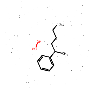 CCCCCCCCCCCC(C)c1ccccc1.OO